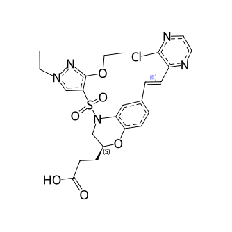 CCOc1nn(CC)cc1S(=O)(=O)N1C[C@H](CCC(=O)O)Oc2ccc(/C=C/c3nccnc3Cl)cc21